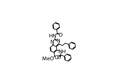 COC(=O)c1ccc2nc(NC(=O)c3ccccc3)nc(CCc3ccccc3)c2c1NC(=O)c1ccccc1